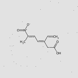 C=C/C(=C\C=C(/C)[N+](=O)[O-])CC(=O)O